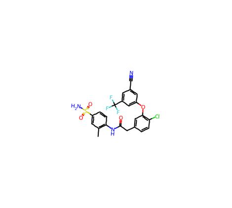 Cc1cc(S(N)(=O)=O)ccc1NC(=O)Cc1ccc(Cl)c(Oc2cc(C#N)cc(C(F)(F)F)c2)c1